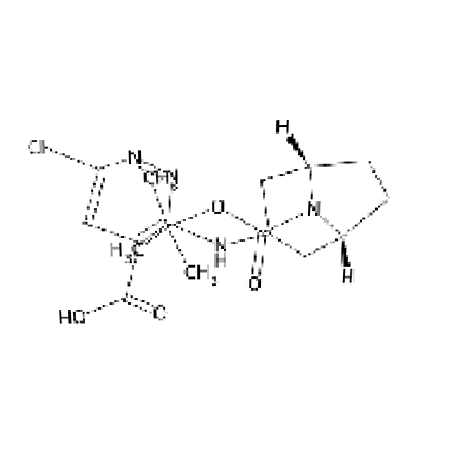 CC(C)(C)OC(=O)N1[C@@H]2CC[C@H]1CC(Nc1nnc(Cl)cc1C(=O)O)C2